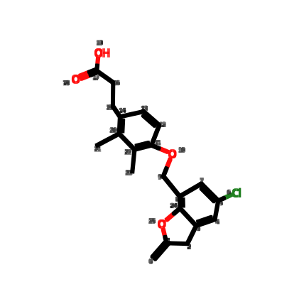 C=C1Cc2cc(Cl)cc(COc3ccc(CCC(=O)O)c(C)c3C)c2O1